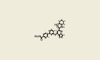 CNC(=O)c1ccc(-c2cc(Cc3cc(C(=O)N[C@H]4CCCC[C@@H]4O)nn4cccc34)ccn2)cc1